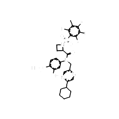 Cc1c(F)c(F)c(F)c(S(=O)(=O)N2CCC2C(=O)N(Cc2cnc(C3CCCCC3)cn2)c2ccc(C(=O)O)c(O)c2)c1F